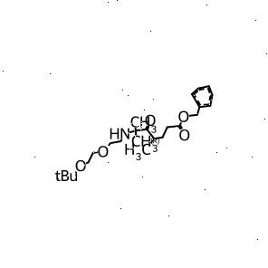 C[C@H](CCC(=O)OCc1ccccc1)C(=O)C(C)(C)NCCOCCOC(C)(C)C